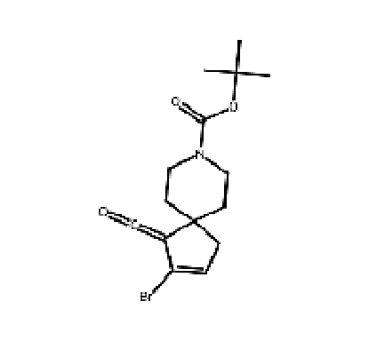 CC(C)(C)OC(=O)N1CCC2(CC=C(Br)C2=C=O)CC1